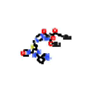 CC(C)(C)C#CC(=O)CC[C@H](NC(=O)OC(C)(C)C)C(=O)N1CCN(Cc2cc3nc(-c4cccc5[nH]ncc45)nc(N4CCOCC4)c3s2)CC1